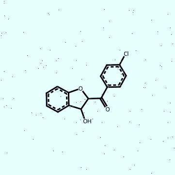 O=C(c1ccc(Cl)cc1)C1Oc2ccccc2C1O